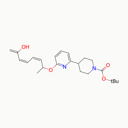 C=C(O)/C=C\C=C/C(C)Oc1cccc(C2CCN(C(=O)OC(C)(C)C)CC2)n1